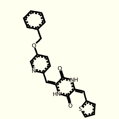 O=c1[nH]c(=Cc2cccs2)c(=O)[nH]c1=Cc1ccc(OCc2ccccc2)cn1